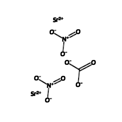 O=C([O-])[O-].O=[N+]([O-])[O-].O=[N+]([O-])[O-].[Sr+2].[Sr+2]